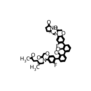 CC(=O)CC[C@H](C)CN1C(=O)COc2cc(-c3cccc(-c4cccc(-c5cc6c(cc5F)N(C[C@@H]5CCC(=O)N5)C(=O)CO6)c4Cl)c3Cl)c(F)cc21